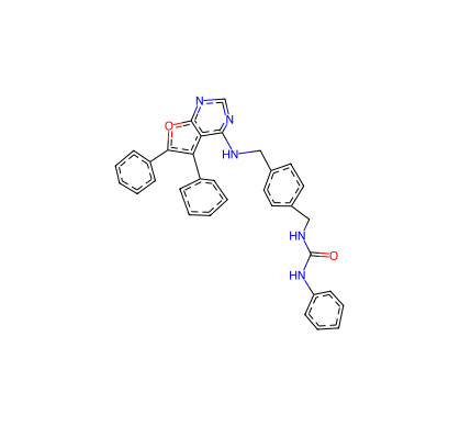 O=C(NCc1ccc(CNc2ncnc3oc(-c4ccccc4)c(-c4ccccc4)c23)cc1)Nc1ccccc1